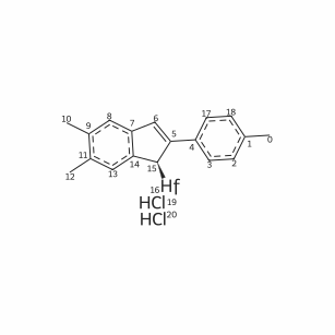 Cc1ccc(C2=Cc3cc(C)c(C)cc3[C@@H]2[Hf])cc1.Cl.Cl